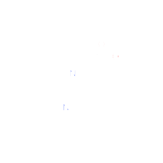 CN(CCC1CCCCN1C)c1ccc2c(c1)OCO2